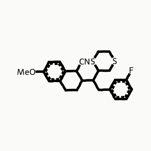 COc1ccc2c(c1)CCC(C(Cc1cccc(F)c1)C1CSCCS1)C2C#N